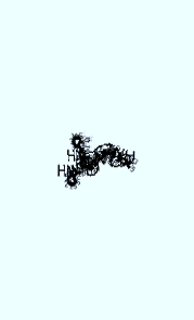 CC(C)(C)OC(=O)NC(C)(C)C(=O)NNC(=O)[C@H](Cc1c[nH]c2ccccc12)OC(=O)NCc1ccccc1